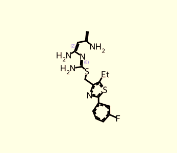 C=C(N)/C=C(N)\N=C(/N)SCc1nc(-c2cccc(F)c2)sc1CC